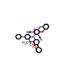 CC1(C)c2cc(-c3ccccc3)ccc2N(c2c(C#N)nc3c(c2C#N)C2c4ccccc4C3c3ccccc32)c2ccc3c(oc4ccccc43)c21